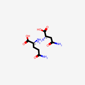 NC(=O)CC[C@H](N)C(=O)O.NC(=O)C[C@H](N)C(=O)O